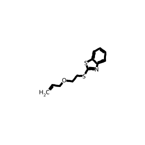 C=CCOCCSc1nc2ccccc2s1